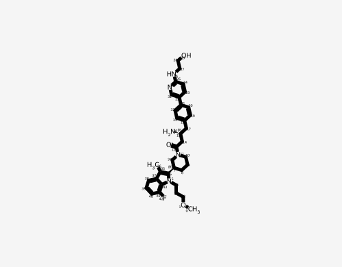 COCCCn1c([C@@H]2CCCN(C(=O)C[C@H](N)Cc3ccc(-c4ccc(NCCO)nc4)cc3)C2)c(C)c2cccc(F)c21